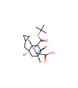 CC(C)(C)OC(=O)N1[C@H](C(=O)O)[C@@H]2CC[C@H]1[C@H](CC1CC1)C2